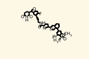 CC(C)c1cc(-c2cccc3cc(-c4ccc(C(=O)NCC#Cc5cc6c(C7CCC(=O)NC7=O)coc6cc5F)nc4)ncc23)cc2c1n(C)c(=O)n2C